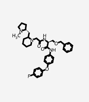 CN1CCC[C@@H]1CC1CCCCN1CC(=O)N[C@@H](COCc1ccccc1)C(=O)Nc1ccc(Oc2ccc(F)cc2)cc1